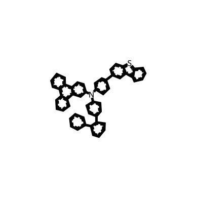 c1ccc(-c2ccccc2-c2ccc(N(c3ccc(-c4ccc5sc6ccccc6c5c4)cc3)c3ccc4c5ccccc5c5ccccc5c4c3)cc2)cc1